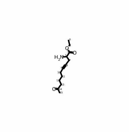 CCOC(=O)C(N)CC#CCCCCC(C)=O